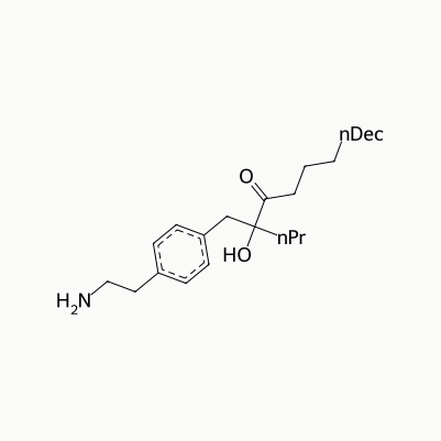 CCCCCCCCCCCCCC(=O)C(O)(CCC)Cc1ccc(CCN)cc1